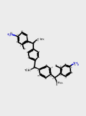 CCCCCCCCCCC(c1ccc(C(CCCCCC)c2ccc(N)cc2C)cc1)c1ccc(C(CCCCCC)c2ccc(N)cc2C)cc1